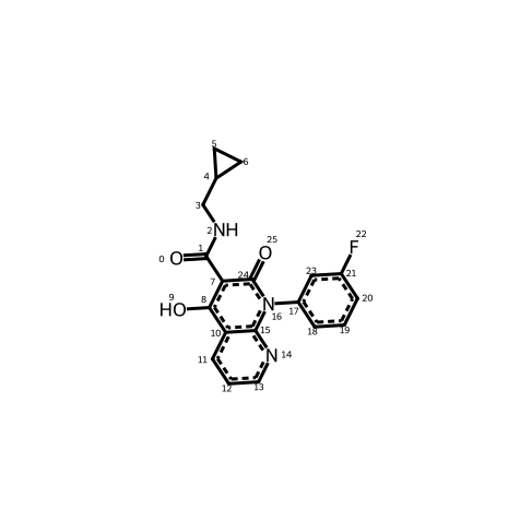 O=C(NCC1CC1)c1c(O)c2cccnc2n(-c2cccc(F)c2)c1=O